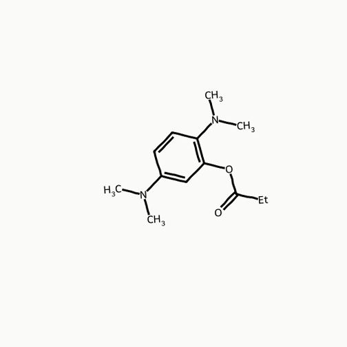 CCC(=O)Oc1cc(N(C)C)ccc1N(C)C